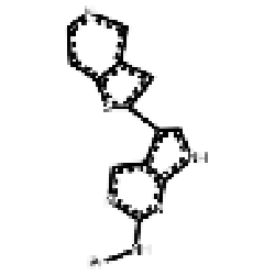 CC(C)Nc1ncc2c(-c3cc4cnccc4s3)c[nH]c2n1